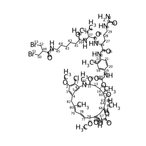 COc1cc2cc(c1Cl)N(C)C(=O)C[C@H](OC(=O)Nc1ccc(NC(=O)[C@H](CCCNC(N)=O)NC(=O)[C@@H](NC(=O)CCCCCNC(=O)C(CBr)CBr)C(C)C)c(C)c1)[C@]1(C)O[C@H]1[C@H](C)[C@@H]1C[C@@](O)(NC(=O)O1)[C@H](OC)/C=C/C=C(\C)C2